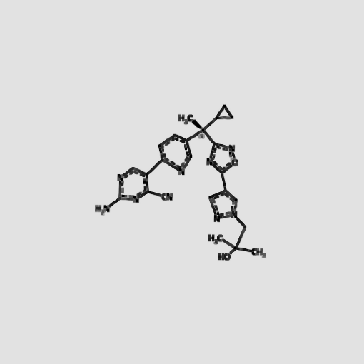 CC(C)(O)Cn1cc(-c2nc([C@](C)(c3ccc(-c4cnc(N)nc4C#N)nc3)C3CC3)no2)cn1